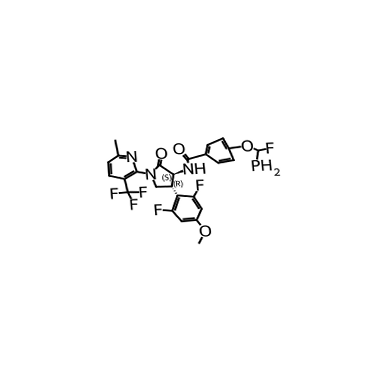 COc1cc(F)c([C@@H]2CN(c3nc(C)ccc3C(F)(F)F)C(=O)[C@H]2NC(=O)c2ccc(OC(F)P)cc2)c(F)c1